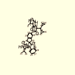 Cc1nonc1C(=O)N[C@H](C(=O)Nc1ccc2c(c1)CC(C(=O)Nc1ccccc1F)(N1C[C@@H](C(C)C)NC1=O)C2)C(C1CC1)C1CC1